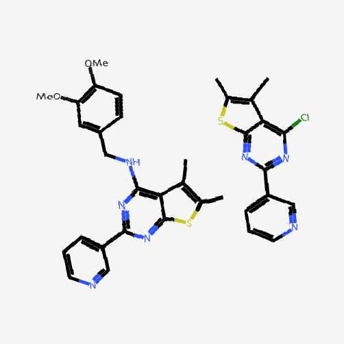 COc1ccc(CNc2nc(-c3cccnc3)nc3sc(C)c(C)c23)cc1OC.Cc1sc2nc(-c3cccnc3)nc(Cl)c2c1C